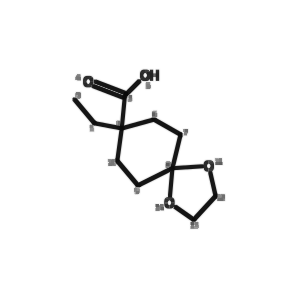 CCC1(C(=O)O)CCC2(CC1)OCCO2